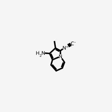 [C-]#[N+]c1c(C)c(N)c2ccccn12